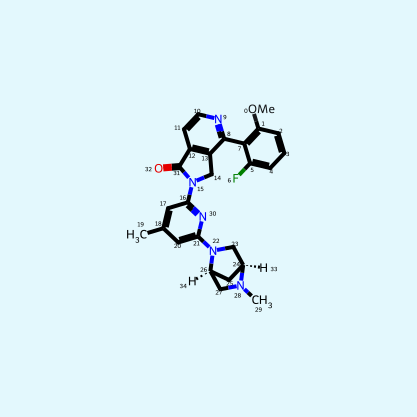 COc1cccc(F)c1-c1nccc2c1CN(c1cc(C)cc(N3C[C@@H]4C[C@H]3CN4C)n1)C2=O